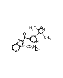 Cc1noc(C)c1-c1cc(C(=O)c2nc3ccccc3n2C(=O)O)cc(C2CC2)n1